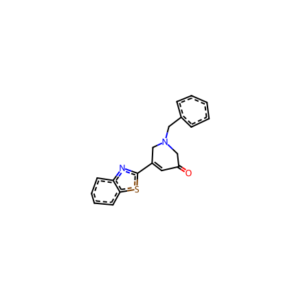 O=C1C=C(c2nc3ccccc3s2)CN(Cc2ccccc2)C1